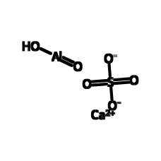 O=S(=O)([O-])[O-].[Ca+2].[O]=[Al][OH]